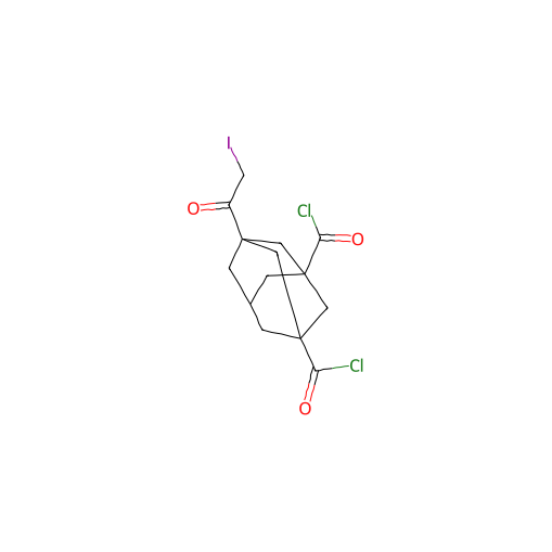 O=C(Cl)C12CC3CC(C(=O)Cl)(C1)CC(C(=O)CI)(C3)C2